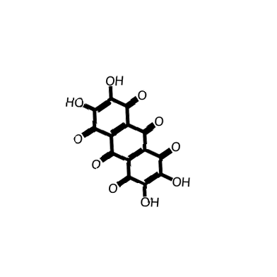 O=c1c(O)c(O)c(=O)c2c(=O)c3c(=O)c(O)c(O)c(=O)c3c(=O)c12